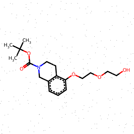 CC(C)(C)OC(=O)N1CCc2c(cccc2OCCOCCO)C1